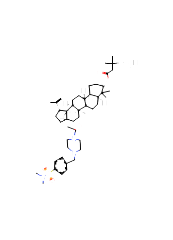 C=C(C)[C@@H]1CC[C@]2(CC(=O)N3CCN(Cc4ccc(S(=O)(=O)N(C)C)cc4)CC3)CC[C@]3(C)[C@H](CC[C@@H]4[C@@]5(C)CC[C@H](OC(=O)CC(C)(C)C(=O)O)C(C)(C)[C@@H]5CC[C@]43C)[C@@H]12